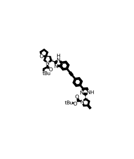 C=C1C[C@@H](c2nc(-c3ccc(C#Cc4ccc5[nH]c([C@@H]6C[C@@]7(CCCO7)CN6C(=O)CC(C)(C)C)nc5c4)cc3)c[nH]2)N(C(=O)OC(C)(C)C)C1